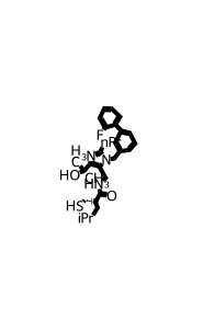 CCCc1nc(C(C)(C)O)c(CNC(=O)[C@@H](CS)CC(C)C)n1Cc1cccc(-c2ccccc2F)c1